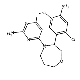 COc1cc(C2COCCCN2c2cc(C)nc(N)n2)c(Cl)cc1N